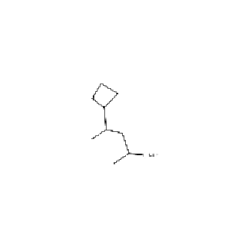 [CH2]C(CC(C)OC)C1CCC1